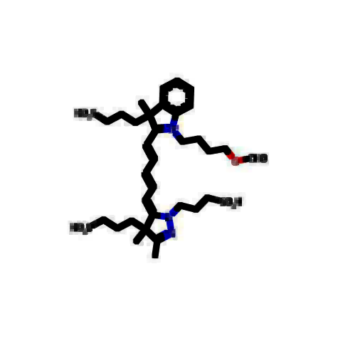 CC1=NN(CCCS(=O)(=O)O)\C(=C/C=C/C=C/C2=[N+](CCCCOC=O)c3ccccc3C2(C)CCCS(=O)(=O)O)C1(C)CCCS(=O)(=O)O